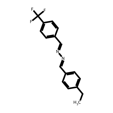 CCc1ccc(C=NN=Cc2ccc(C(F)(F)F)cc2)cc1